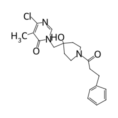 Cc1c(Cl)ncn(CC2(O)CCN(C(=O)CCc3ccccc3)CC2)c1=O